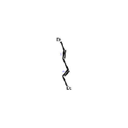 [CH2]C/C=C/C=C/CC